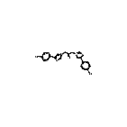 O=C(Cn1cnc(-c2ccc(Cl)cc2)c1)Cn1cnc(-c2ccc(Cl)cc2)c1